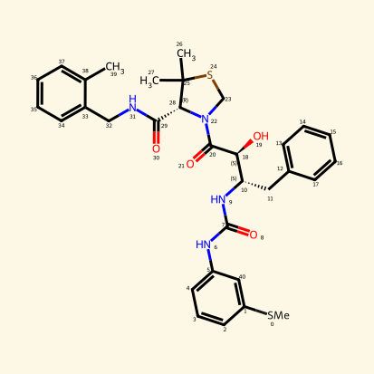 CSc1cccc(NC(=O)N[C@@H](Cc2ccccc2)[C@H](O)C(=O)N2CSC(C)(C)[C@H]2C(=O)NCc2ccccc2C)c1